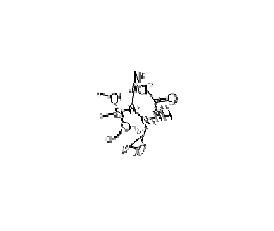 CO[Si](C)(OC)N(C#N)N(NC(=O)Cl)C1CO1